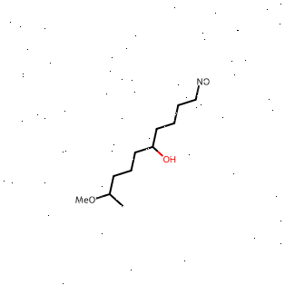 COC(C)CCCC(O)CCCCN=O